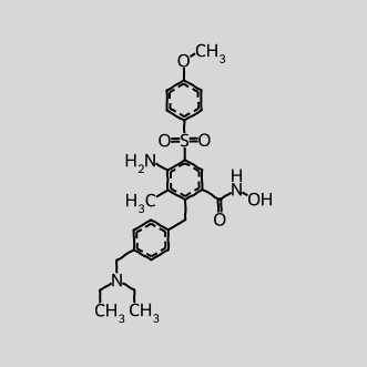 CCN(CC)Cc1ccc(Cc2c(C(=O)NO)cc(S(=O)(=O)c3ccc(OC)cc3)c(N)c2C)cc1